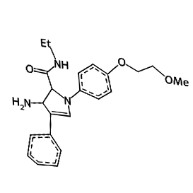 CCNC(=O)C1C(N)C(c2ccccc2)=CN1c1ccc(OCCOC)cc1